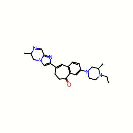 CCN1CCN(c2ccc3c(c2)C(=O)CCC(c2cn4c(n2)C=NC(C)C4)=C3)C[C@H]1C